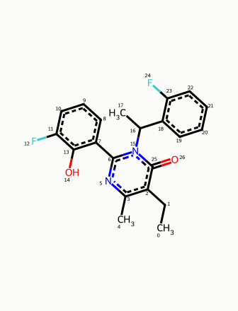 CCc1c(C)nc(-c2cccc(F)c2O)n(C(C)c2ccccc2F)c1=O